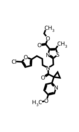 CCOC(=O)c1nc(CN(CCCc2ccc(Cl)o2)C(=O)C2(c3ccc(OC)cn3)CC2)sc1C